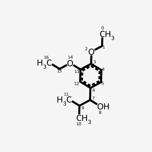 CCOc1ccc(C(O)C(C)C)cc1OCC